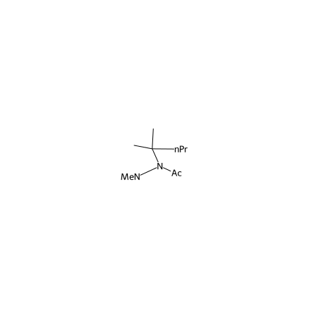 CCCC(C)(C)N(NC)C(C)=O